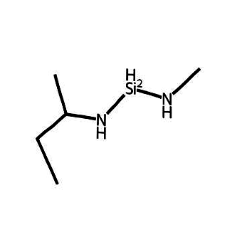 CCC(C)N[SiH2]NC